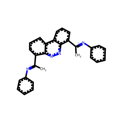 C/C(=N\c1ccccc1)c1cccc2c1nnc1c(/C(C)=N/c3ccccc3)cccc12